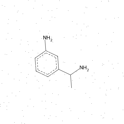 CC(N)c1cccc(N)c1